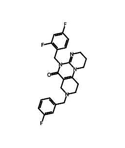 O=C1C2=C(CCN(Cc3cccc(F)c3)C2)N2CCCN=C2N1Cc1ccc(F)cc1F